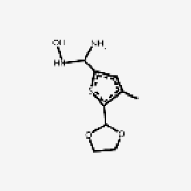 Cc1cc(C(N)NO)sc1C1OCCO1